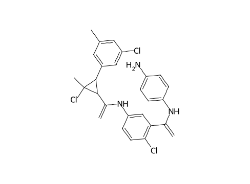 C=C(Nc1ccc(N)cc1)c1cc(NC(=C)C2C(c3cc(C)cc(Cl)c3)C2(C)Cl)ccc1Cl